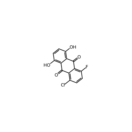 O=C1c2c(O)ccc(O)c2C(=O)c2c(Cl)ccc(F)c21